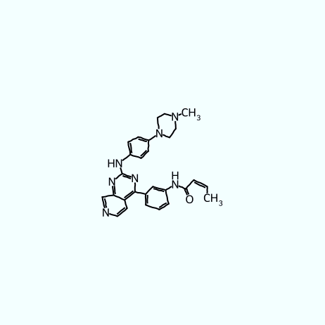 C/C=C\C(=O)Nc1cccc(-c2nc(Nc3ccc(N4CCN(C)CC4)cc3)nc3cnccc23)c1